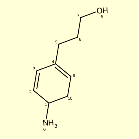 NC1C=CC(CCCO)=CC1